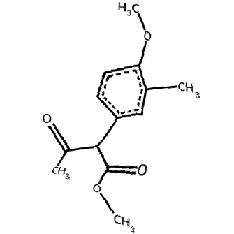 COC(=O)C(C(C)=O)c1ccc(OC)c(C)c1